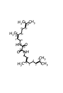 CC(C)=CCCC(C)=CCNC(=O)C(=O)NCC=C(C)CCC=C(C)C